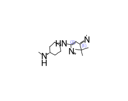 C=N/C(=C\C(=N/C)C(C)(C)C)N[C@H]1CC[C@@H](NC)CC1